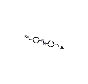 CCC(C)Cc1ccc(/N=N/c2ccc(CC(C)CC)cc2)cc1